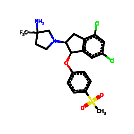 CS(=O)(=O)c1ccc(O[C@@H]2c3cc(Cl)cc(Cl)c3C[C@@H]2N2CCC(N)(C(F)(F)F)C2)cc1